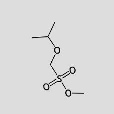 COS(=O)(=O)COC(C)C